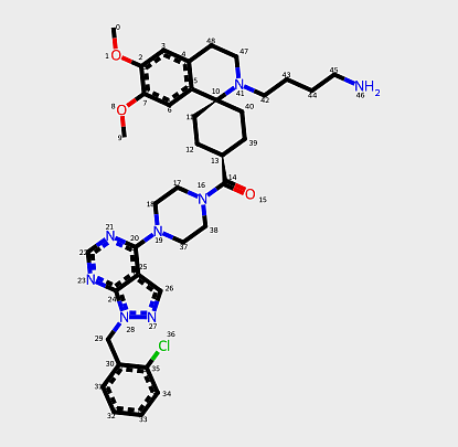 COc1cc2c(cc1OC)[C@]1(CC[C@H](C(=O)N3CCN(c4ncnc5c4cnn5Cc4ccccc4Cl)CC3)CC1)N(CCCCN)CC2